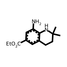 CCOC(=O)c1cc(N)c2c(c1)CCC(C)(C)N2